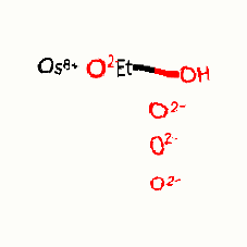 CCO.[O-2].[O-2].[O-2].[O-2].[Os+8]